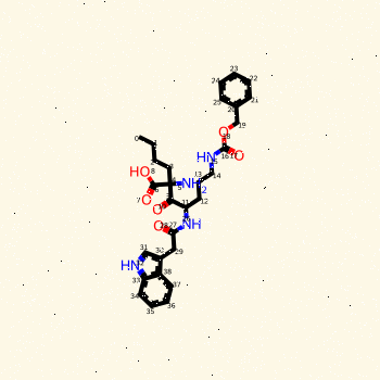 CCCCC(N)(C(=O)O)C(=O)C(CCCNC(=O)OCc1ccccc1)NC(=O)Cc1c[nH]c2ccccc12